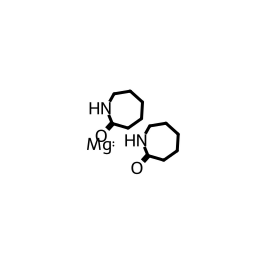 O=C1CCCCCN1.O=C1CCCCCN1.[Mg]